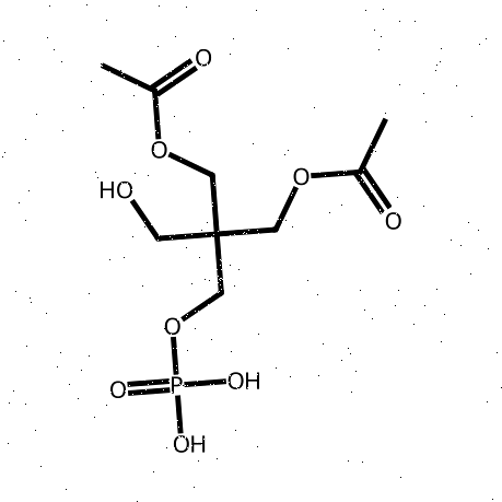 CC(=O)OCC(CO)(COC(C)=O)COP(=O)(O)O